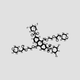 C[C@@H]1C[C@H](C)CN(S(=O)(=O)c2ccc3c(c2)C(=NOCCOC(=O)CN2CCOCC2)c2cc(S(=O)(=O)N4C[C@H](C)C[C@H](C)C4)ccc2C3=NOCCOC(=O)CN2CCOCC2)C1